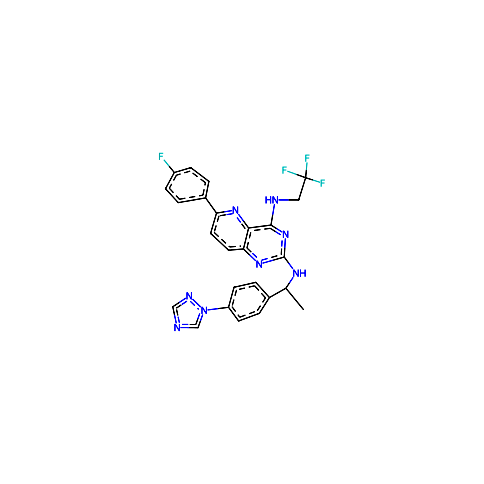 CC(Nc1nc(NCC(F)(F)F)c2nc(-c3ccc(F)cc3)ccc2n1)c1ccc(-n2cncn2)cc1